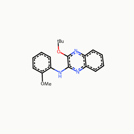 COc1ccccc1Nc1nc2ccccc2nc1OC(C)(C)C